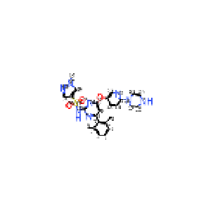 Cc1cccc(C)c1-c1cc(Oc2ccc(N3CCNCC3)nc2)nc(NS(=O)(=O)c2cnn(C)c2)n1